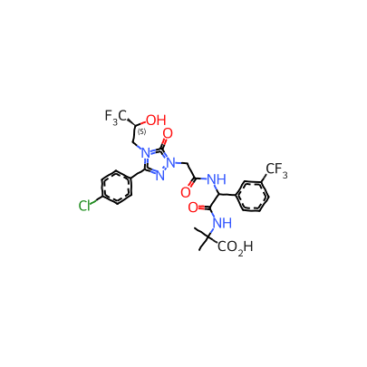 CC(C)(NC(=O)C(NC(=O)Cn1nc(-c2ccc(Cl)cc2)n(C[C@H](O)C(F)(F)F)c1=O)c1cccc(C(F)(F)F)c1)C(=O)O